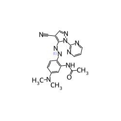 CC(=O)Nc1cc(N(C)C)ccc1/N=N/c1c(C#N)cnn1-c1ncccn1